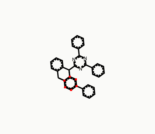 c1ccc(-c2ccc3c(c2)C2(c4nc(-c5ccccc5)nc(-c5ccccc5)n4)c4ccccc4C3c3ccccc32)cc1